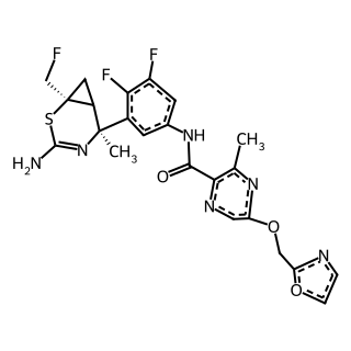 Cc1nc(OCc2ncco2)cnc1C(=O)Nc1cc(F)c(F)c([C@@]2(C)N=C(N)S[C@@]3(CF)CC32)c1